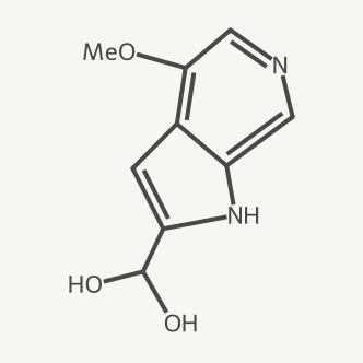 COc1cncc2[nH]c(C(O)O)cc12